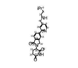 CC(C)CCNCc1ccnc(-c2ccc3c(c2)CN(C2CCC(=O)NC2=O)C3=O)c1